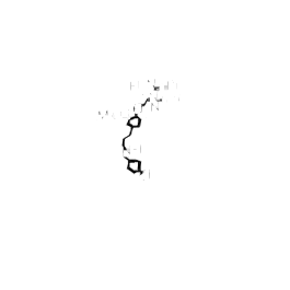 CCCC(N)N(CCOc1ccc(CC[C@@H](C)NCc2ccc(Cl)cc2)cc1OC)C(N)CCC